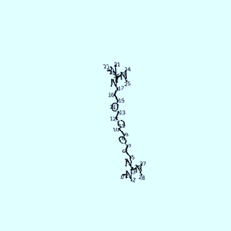 CN(C)C(=NCCCOCCOCCOCCCN=C(N(C)C)N(C)C)N(C)C